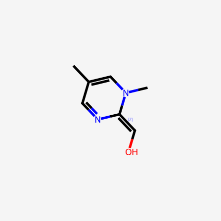 CC1=CN(C)/C(=C/O)N=C1